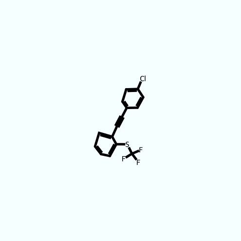 FC(F)(F)Sc1ccccc1C#Cc1ccc(Cl)cc1